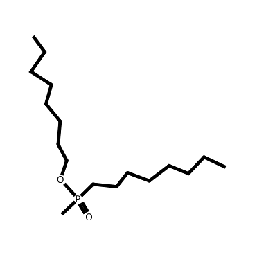 CCCCCCCCOP(C)(=O)CCCCCCCC